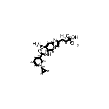 COc1cc2nc(CCC(C)(C)O)cn2cc1NC(=O)C1=CC=CN(C2CC2)C1